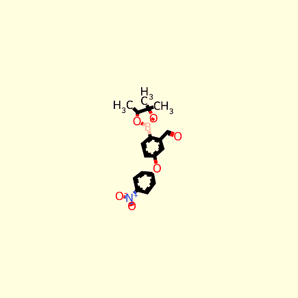 CC1OB(c2ccc(Oc3ccc([N+](=O)[O-])cc3)cc2C=O)OC1(C)C